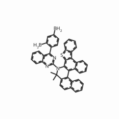 Bc1ccc(-c2nc(N3c4c(c5ccccc5c5c4sc4ccccc45)-c4c(ccc5ccccc45)C3(C)C)nc3ccccc23)c(B)c1